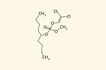 CCCCC(CCCC)OP(=O)(OC)OC=C(Cl)Cl